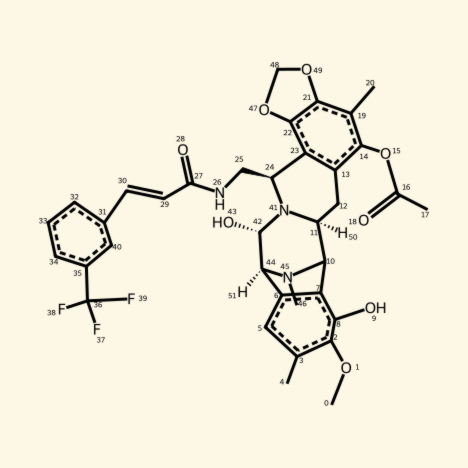 COc1c(C)cc2c(c1O)C1[C@@H]3Cc4c(OC(C)=O)c(C)c5c(c4[C@H](CNC(=O)/C=C/c4cccc(C(F)(F)F)c4)N3[C@@H](O)[C@H]2N1C)OCO5